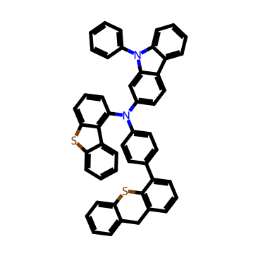 c1ccc(-n2c3ccccc3c3ccc(N(c4ccc(-c5cccc6c5Sc5ccccc5C6)cc4)c4cccc5sc6ccccc6c45)cc32)cc1